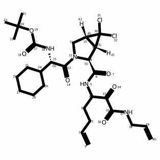 C=CCCC(NC(=O)[C@@H]1[C@@H]2[C@H](CN1C(=O)[C@@H](NC(=O)OC(C)(C)C)C1CCCCC1)C2(Cl)Cl)C(=O)C(=O)NCC=C